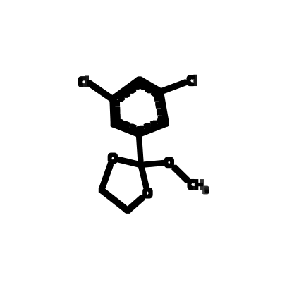 COC1(c2cc(Cl)cc(Cl)c2)OCCO1